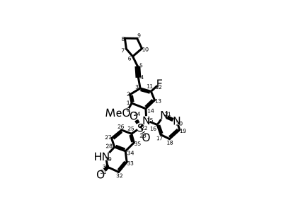 COc1cc(C#CC2CCCC2)c(F)cc1N(c1cccnn1)S(=O)(=O)c1ccc2[nH]c(=O)ccc2c1